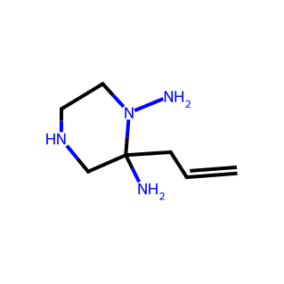 C=CCC1(N)CNCCN1N